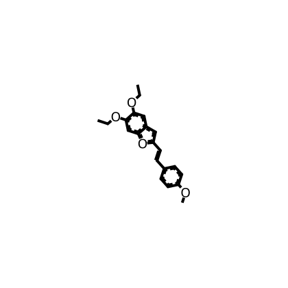 CCOc1cc2cc(C=Cc3ccc(OC)cc3)oc2cc1OCC